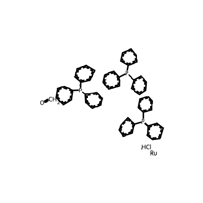 C=O.Cl.[Ru].c1ccc(P(c2ccccc2)c2ccccc2)cc1.c1ccc(P(c2ccccc2)c2ccccc2)cc1.c1ccc(P(c2ccccc2)c2ccccc2)cc1